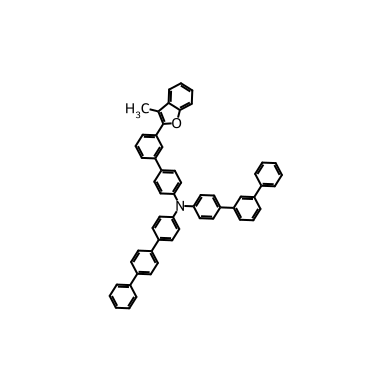 Cc1c(-c2cccc(-c3ccc(N(c4ccc(-c5ccc(-c6ccccc6)cc5)cc4)c4ccc(-c5cccc(-c6ccccc6)c5)cc4)cc3)c2)oc2ccccc12